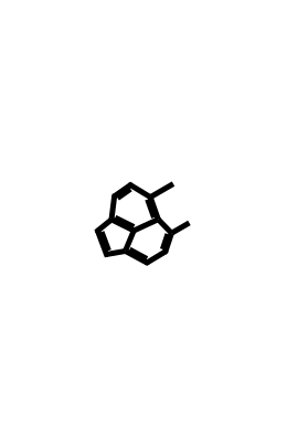 Cc1ccc2c3c(ccc(C)c13)C=C2